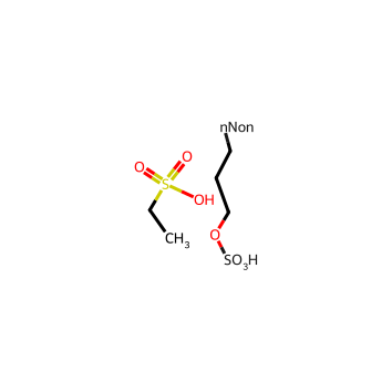 CCCCCCCCCCCCOS(=O)(=O)O.CCS(=O)(=O)O